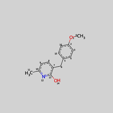 COc1ccc(Cc2ccc(C)nc2O)cc1